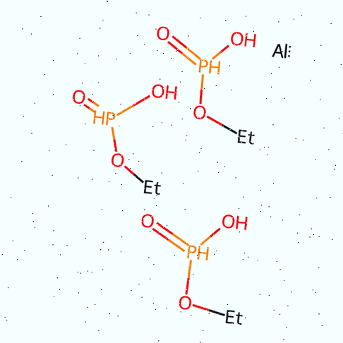 CCO[PH](=O)O.CCO[PH](=O)O.CCO[PH](=O)O.[Al]